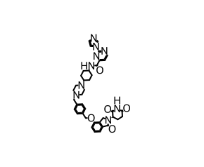 O=C1CC[C@H](N2Cc3c(OCc4ccc(CN5CCN(C6CCC(NC(=O)c7ccnc(-n8ccnc8)n7)CC6)CC5)cc4)cccc3C2=O)C(=O)N1